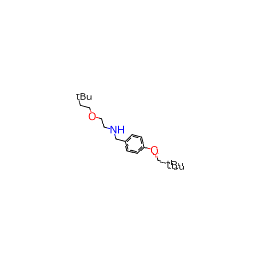 CC(C)(C)CCOCCNCc1ccc(OCC(C)(C)C)cc1